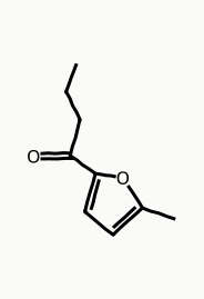 CCCC(=O)c1ccc(C)o1